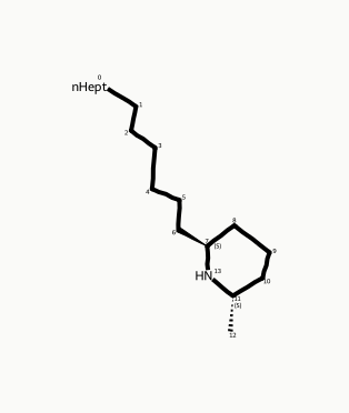 CCCCCCCCCCCCC[C@H]1CCC[C@H](C)N1